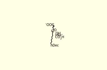 CCCCCCCCCCCCCCCCCCOC(=O)C=CC(=O)[O-].O=C(O)CO.[Na+]